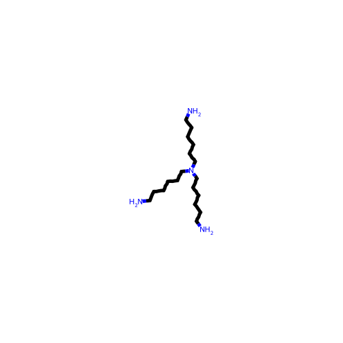 NCCCCCCN(CCCCCCN)CCCCCCN